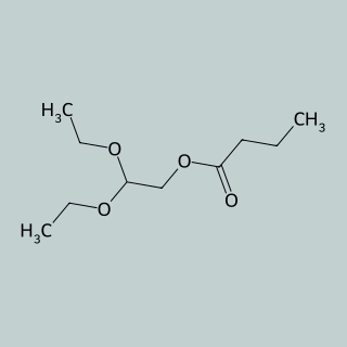 CCCC(=O)OCC(OCC)OCC